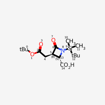 CC(C)(C)OC(=O)C[C@H]1C(=O)N([Si](C)(C)C(C)(C)C)[C@@H]1C(=O)O